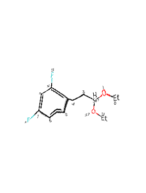 CCO[SiH](Cc1ccc(F)cc1F)OCC